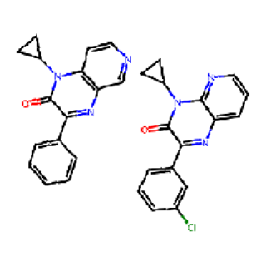 O=c1c(-c2cccc(Cl)c2)nc2cccnc2n1C1CC1.O=c1c(-c2ccccc2)nc2cnccc2n1C1CC1